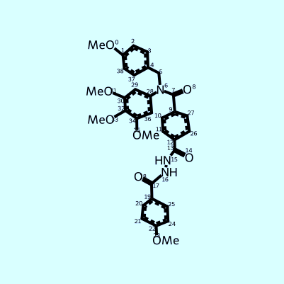 COc1ccc(CN(C(=O)c2ccc(C(=O)NNC(=O)c3ccc(OC)cc3)cc2)c2cc(OC)c(OC)c(OC)c2)cc1